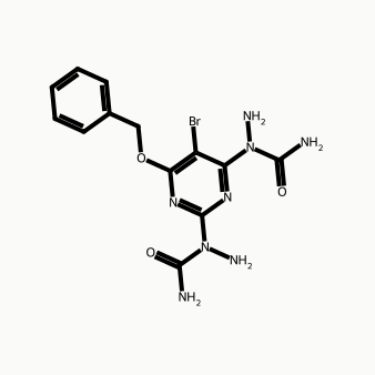 NC(=O)N(N)c1nc(OCc2ccccc2)c(Br)c(N(N)C(N)=O)n1